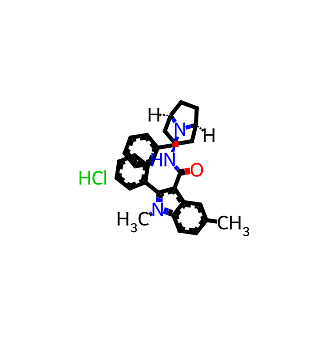 Cc1ccc2c(c1)c(C(=O)N[C@H]1C[C@H]3CC[C@@H](C1)N3Cc1ccccc1)c(-c1ccccc1)n2C.Cl